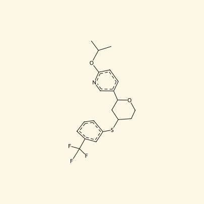 CC(C)Oc1ccc(C2CC(Sc3cccc(C(F)(F)F)c3)CCO2)cn1